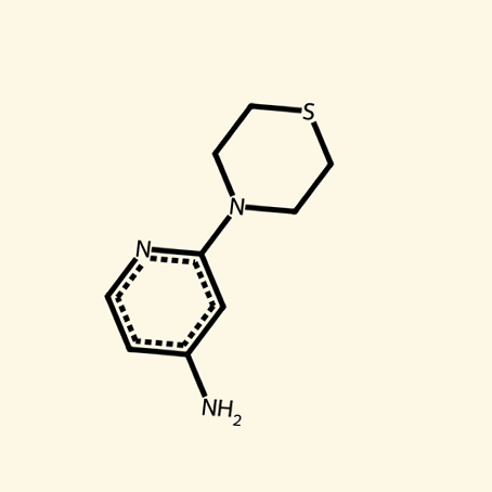 Nc1ccnc(N2CCSCC2)c1